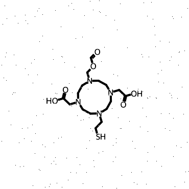 O=COCN1CCN(CC(=O)O)CCN(CCS)CCN(CC(=O)O)CC1